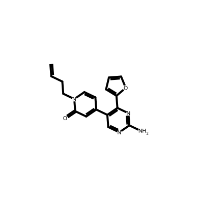 C=CCCn1ccc(-c2cnc(N)nc2-c2ccco2)cc1=O